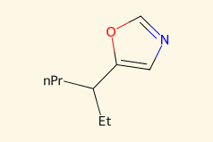 CCCC(CC)c1cnco1